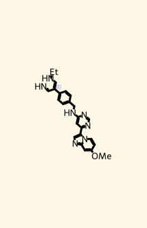 CCN/C=C(\C=N)c1ccc(CNc2cc(-c3cnc4cc(OC)ccn34)ncn2)cc1